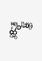 Cl.Cl.O=C1COc2ccc(F)c3c2N1CCC3CN1CCC(NCc2cc3c(nn2)OCCO3)CC1